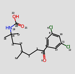 CC(CCC(=O)c1cc(Cl)cc(Cl)c1)CCC(C)(C)NC(=O)O